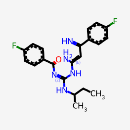 CCC(C)N/C(=N/C(=O)c1ccc(F)cc1)N/C(N)=C/C(=N)c1ccc(F)cc1